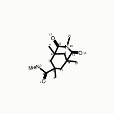 CNC(=O)C1(C)CC2(C)CC(C)(C1)C(=O)N(C)C2=O